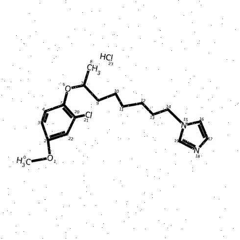 COc1ccc(OC(C)CCCCCCn2ccnc2)c(Cl)c1.Cl